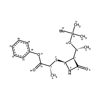 C[C@@H](S[C@@H]1NC(=O)[C@@H]1[C@@H](C)O[Si](C)(C)C(C)(C)C)C(=O)Oc1ccccc1